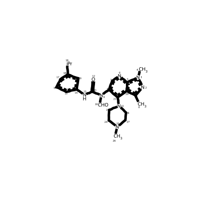 Cc1nn(C)c2ncc(N(C=O)C(=O)Nc3cccc(C(C)C)c3)c(N3CCN(C)CC3)c12